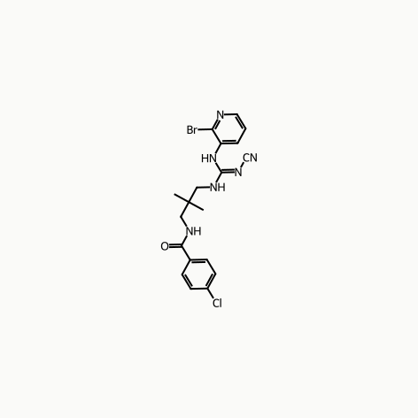 CC(C)(CNC(=O)c1ccc(Cl)cc1)CNC(=NC#N)Nc1cccnc1Br